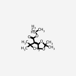 C[SiH](C)OC(=O)/C(=C1/COC(C)(C)O1)C(C)(C)C